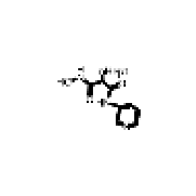 CCCCCCCC(C(=O)NO)C(=O)Nc1cccnc1